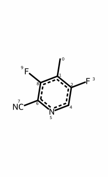 Cc1c(F)cnc(C#N)c1F